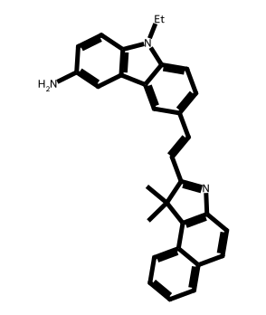 CCn1c2ccc(N)cc2c2cc(C=CC3=Nc4ccc5ccccc5c4C3(C)C)ccc21